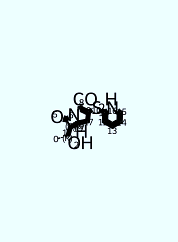 C[C@@H](O)[C@H]1C(=O)N2C(C(=O)O)=C(Sc3ccccn3)C[C@H]12